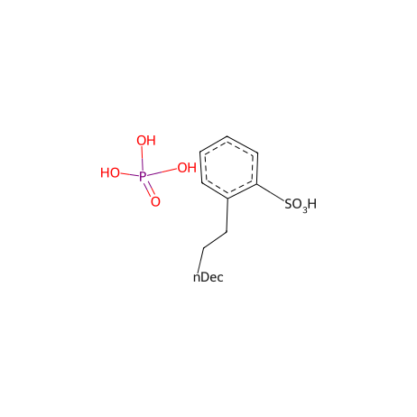 CCCCCCCCCCCCc1ccccc1S(=O)(=O)O.O=P(O)(O)O